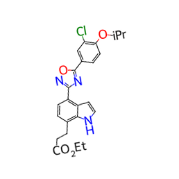 CCOC(=O)CCc1ccc(-c2noc(-c3ccc(OC(C)C)c(Cl)c3)n2)c2cc[nH]c12